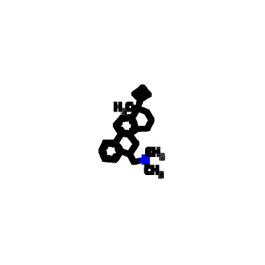 CN(C)CC1Cc2c(ccc3c2CCCC3(C)C2=CC=C2)-c2ccccc21